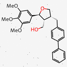 COc1cc([C@H]2OC[C@H](Cc3ccc(-c4ccccc4)cc3)[C@@H]2CO)cc(OC)c1OC